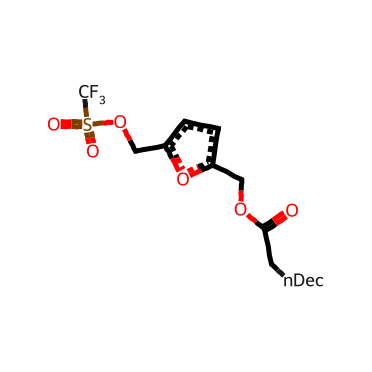 CCCCCCCCCCCC(=O)OCc1ccc(COS(=O)(=O)C(F)(F)F)o1